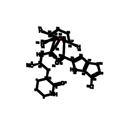 N#C[C@@H](C[C@@H]1CCCNC1=O)NC(=O)[C@@H]1[C@@H]2CC[C@@H](CC2(F)F)N1C(=O)c1cc2scc(Cl)c2[nH]1